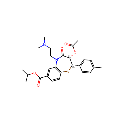 CC(=O)O[C@H]1C(=O)N(CCN(C)C)c2cc(C(=O)OC(C)C)ccc2S[C@H]1c1ccc(C)cc1